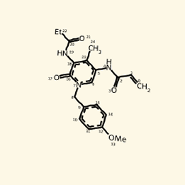 C=CC(=O)Nc1cn(Cc2ccc(OC)cc2)c(=O)c(NC(=O)CC)c1C